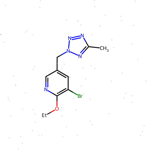 CCOc1ncc(Cn2nnc(C)n2)cc1Br